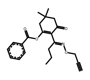 C#CCON=C(CCC)C1=C(OC(=O)c2ccccc2)CC(C)(C)CC1=O